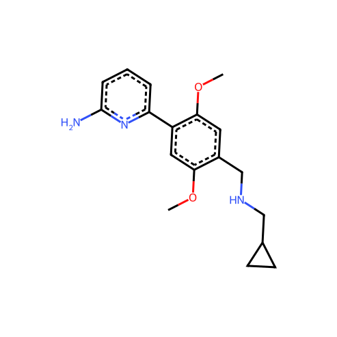 COc1cc(-c2cccc(N)n2)c(OC)cc1CNCC1CC1